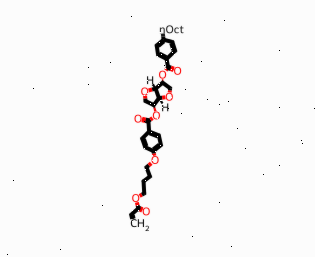 C=CC(=O)OCCCCOc1ccc(C(=O)O[C@H]2CO[C@H]3[C@@H]2OC[C@H]3OC(=O)c2ccc(CCCCCCCC)cc2)cc1